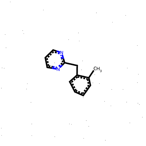 Cc1ccccc1Cc1ncccn1